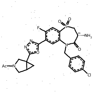 CC(=O)N1CC2CC2(c2nnc(-c3cc4c(cc3F)S(=O)(=O)C[C@H](N)C(=O)N4Cc3ccc(Cl)cc3)o2)C1